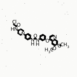 COc1cc2nccc(Oc3cccc(NC(=O)Nc4ccc(N5CCC(NC(=O)CCl)CC5)cc4)c3)c2cc1OC